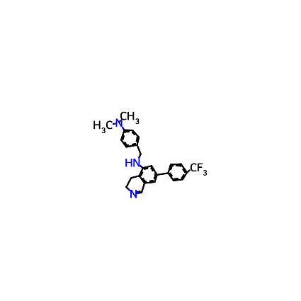 CN(C)c1ccc(CNc2cc(-c3ccc(C(F)(F)F)cc3)cc3c2CCN=C3)cc1